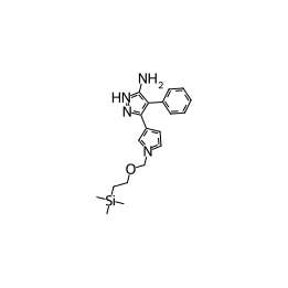 C[Si](C)(C)CCOCn1ccc(-c2n[nH]c(N)c2-c2ccccc2)c1